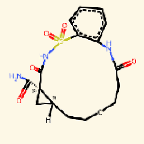 NC(=O)[C@@]12C[C@H]1CCCCCC(=O)Nc1ccccc1S(=O)(=O)NC2=O